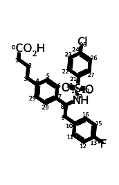 O=C(O)CCCc1ccc(C(Cc2ccc(F)cc2)NS(=O)(=O)c2ccc(Cl)cc2)cc1